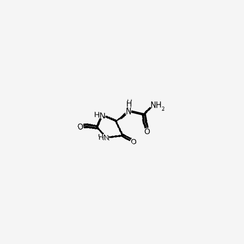 NC(=O)N[C@@H]1NC(=O)NC1=O